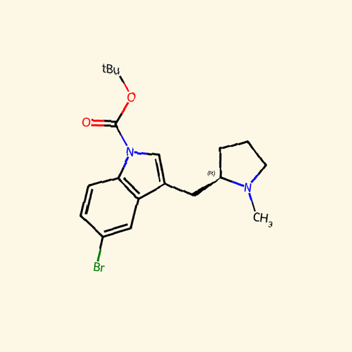 CN1CCC[C@@H]1Cc1cn(C(=O)OC(C)(C)C)c2ccc(Br)cc12